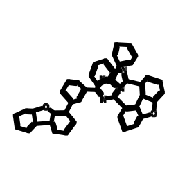 c1ccc(-c2nc(-c3cccc(-c4cccc5c4oc4ccccc45)c3)nc(-c3cccc4oc5cccc(-c6nc7ccccc7s6)c5c34)n2)cc1